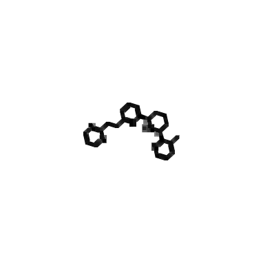 Cc1cccnc1[C@@H]1CCC[C@H](c2cccc(CCc3ncccn3)n2)N1